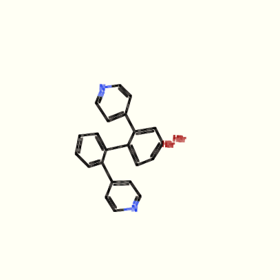 Br.Br.c1ccc(-c2ccccc2-c2ccncc2)c(-c2ccncc2)c1